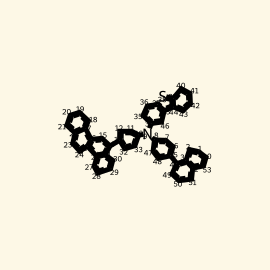 c1ccc2c(-c3ccc(N(c4ccc(-c5cc6c7ccccc7ccc6c6ccccc56)cc4)c4ccc5sc6ccccc6c5c4)cc3)cccc2c1